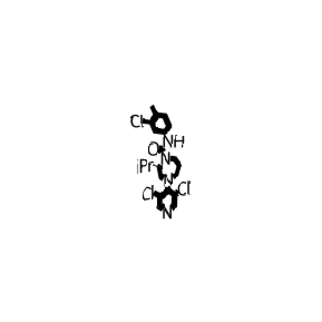 Cc1ccc(NC(=O)N2CCCN(c3c(Cl)cncc3Cl)C[C@@H]2C(C)C)cc1Cl